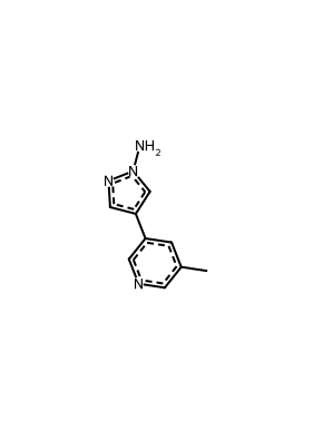 Cc1cncc(-c2cnn(N)c2)c1